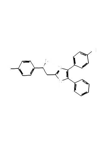 N[C@@H](Cc1nc(-c2ccc(Cl)cc2)c(-c2ccccc2)[nH]1)c1ccc(Cl)cc1